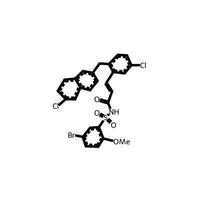 COc1ccc(Br)cc1S(=O)(=O)NC(=O)C=Cc1cc(Cl)ccc1Cc1ccc2cc(Cl)ccc2c1